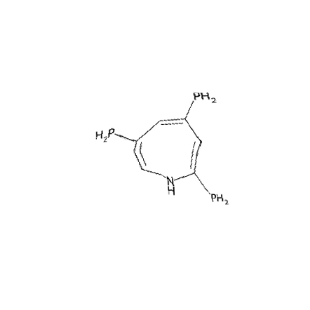 PC1=CNC(P)=CC(P)=C1